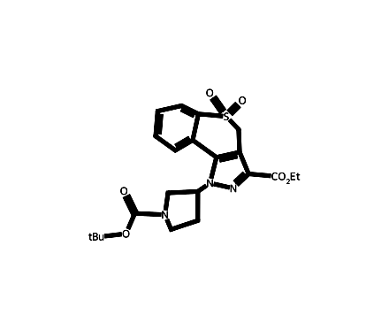 CCOC(=O)c1nn(C2CCN(C(=O)OC(C)(C)C)C2)c2c1CS(=O)(=O)c1ccccc1-2